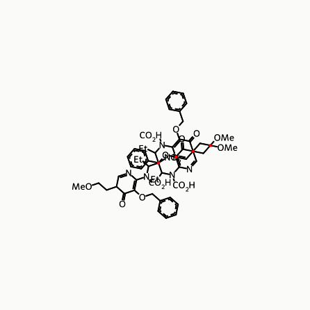 CCC(N(C(=O)O)C1=C(OCc2ccccc2)C(=O)C(CCOC)C=N1)C(C(CC)N(C(=O)O)C1=C(OCc2ccccc2)C(=O)C(CCOC)C=N1)(C(CC)N(C(=O)O)C1=C(OCc2ccccc2)C(=O)C(CCOC)C=N1)[N+](=O)[O-]